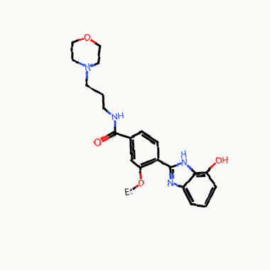 CCOc1cc(C(=O)NCCCN2CCOCC2)ccc1-c1nc2cccc(O)c2[nH]1